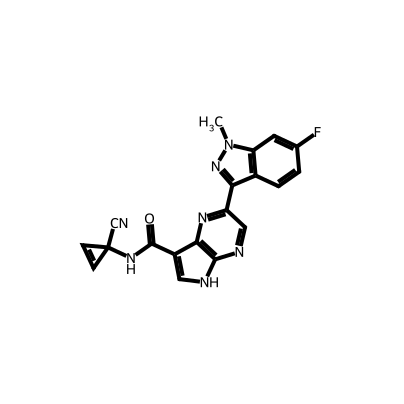 Cn1nc(-c2cnc3[nH]cc(C(=O)NC4(C#N)C=C4)c3n2)c2ccc(F)cc21